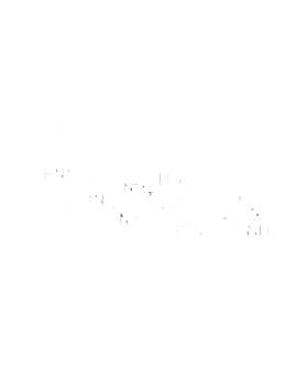 CC(C)CNC1CCN(c2ncc(-c3ccc(-c4cn[nH]c4)cc3O)nn2)C1